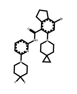 O=C(Nc1cccc(N2CCC(F)(F)CC2)n1)c1c(N2CCC3(CC2)CC3)cc(Br)c2c1CCC2